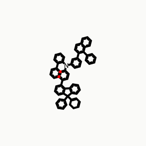 C1=CCCC(C2(c3ccccc3)c3ccccc3-c3c(-c4ccc(N(c5cccc(-c6ccc7ccccc7c6-c6ccccc6)c5)c5ccccc5-c5ccccc5)cc4)cccc32)=C1